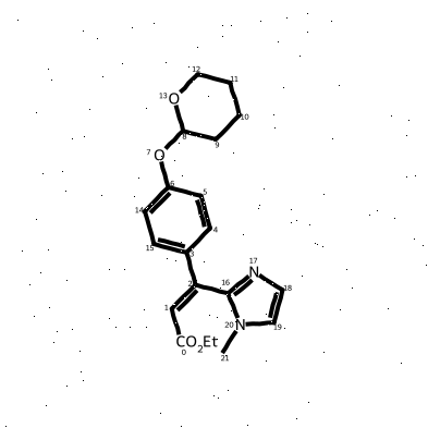 CCOC(=O)C=C(c1ccc(OC2CCCCO2)cc1)c1nccn1C